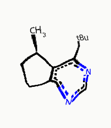 C[C@@H]1CCc2ncnc(C(C)(C)C)c21